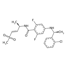 C[C@H](/C=C/S(C)(=O)=O)NC(=O)c1c(F)cc(N[C@@H](C)c2ccccc2Cl)cc1F